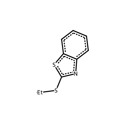 C[CH]Sc1nc2ccccc2s1